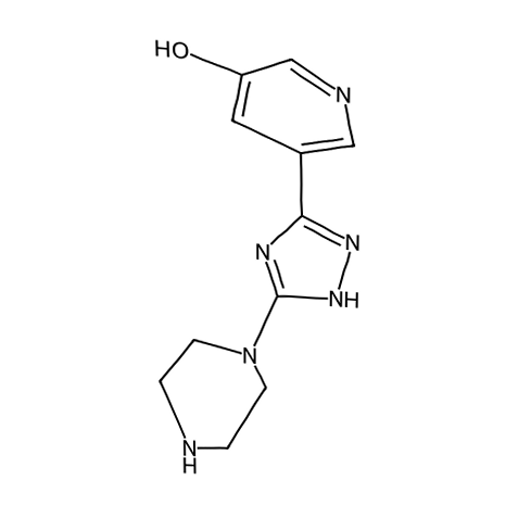 Oc1cncc(-c2n[nH]c(N3CCNCC3)n2)c1